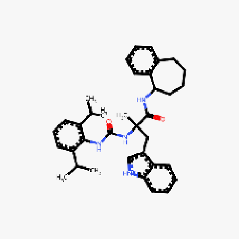 CC(C)c1cccc(C(C)C)c1NC(=O)NC(C)(Cc1c[nH]c2ccccc12)C(=O)NC1CCCCc2ccccc21